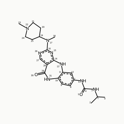 CC(C)NC(=O)Nc1ccc2c(c1)Nc1nc(N(C)C3CCN(C)CC3)ncc1C(=O)N2